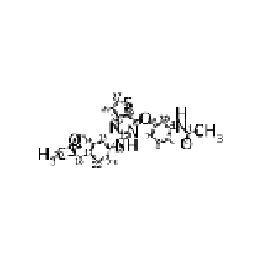 CC(=O)Nc1cccc(Oc2nc(Nc3ccc(C[S+](C)[O-])cc3)nc3ccsc23)c1